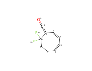 O=C=C1/C=C\C=C/CCC1(F)F